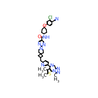 Cc1sc2c(c1C)C(c1ccc(CC3CC4(CCN(c5ncc(C(=O)N[C@H]6CC[C@H](Oc7ccc(C#N)c(Cl)c7)CC6)cn5)CC4)C3)nc1)=NCc1nnc(C)n1-2